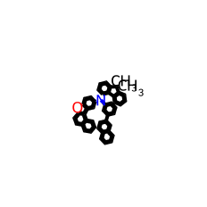 CC1(C)c2ccccc2-c2c(N(c3cccc(-c4ccc5ccccc5c4)c3)c3ccc4oc5ccc6ccccc6c5c4c3)cccc21